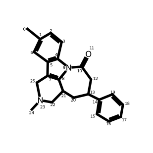 Cc1ccc2c(c1)c1c3n2C(=O)CC(c2ccccc2)CC3CN(C)C1